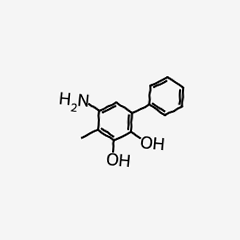 Cc1c(N)cc(-c2ccccc2)c(O)c1O